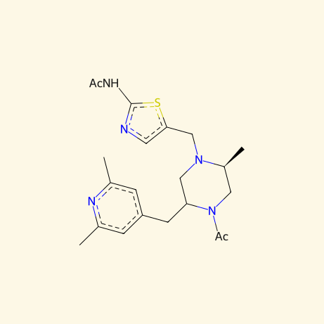 CC(=O)Nc1ncc(CN2CC(Cc3cc(C)nc(C)c3)N(C(C)=O)C[C@@H]2C)s1